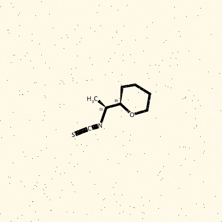 C[C@H](N=C=S)[C@H]1CCCCO1